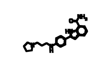 NC(=O)c1cccc2cc(-c3ccc(NCCCN4CCCC4)cc3)[nH]c12